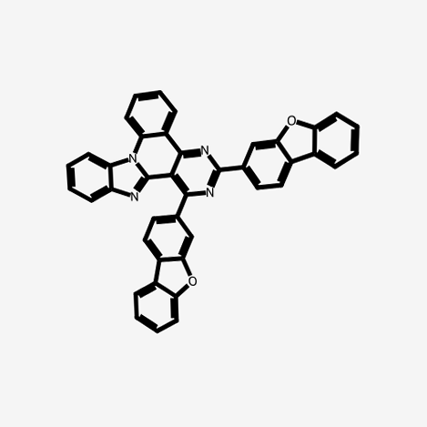 c1ccc2c(c1)nc1c3c(-c4ccc5c(c4)oc4ccccc45)nc(-c4ccc5c(c4)oc4ccccc45)nc3c3ccccc3n21